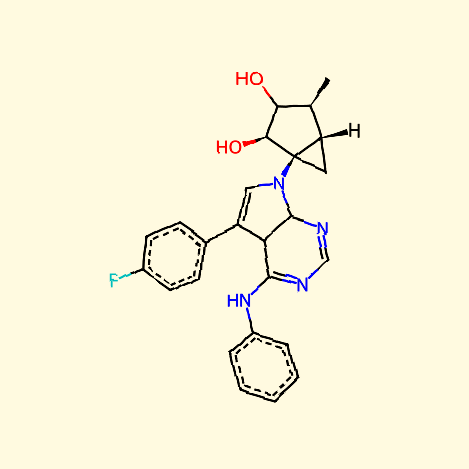 C[C@@H]1C(O)[C@H](O)[C@@]2(N3C=C(c4ccc(F)cc4)C4C(Nc5ccccc5)=NC=NC43)C[C@@H]12